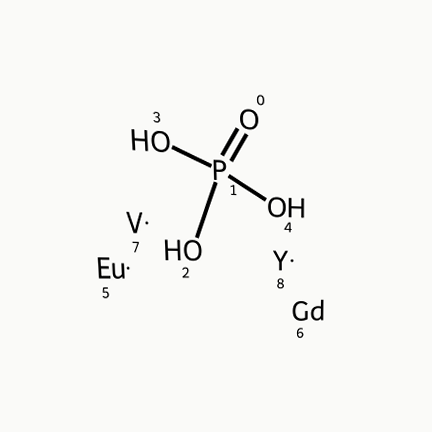 O=P(O)(O)O.[Eu].[Gd].[V].[Y]